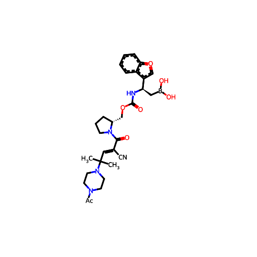 CC(=O)N1CCN(C(C)(C)C=C(C#N)C(=O)N2CCC[C@@H]2COC(=O)N[C@H](CB(O)O)c2coc3ccccc23)CC1